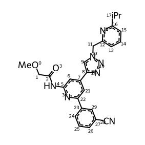 COCC(=O)Nc1cc(-c2cn(Cc3cccc(C(C)C)n3)nn2)cc(-c2cccc(C#N)c2)n1